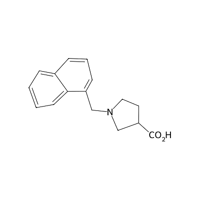 O=C(O)C1CCN(Cc2cccc3ccccc23)C1